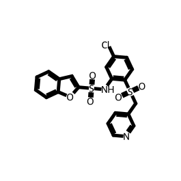 O=S(=O)(Cc1cccnc1)c1ccc(Cl)cc1NS(=O)(=O)c1cc2ccccc2o1